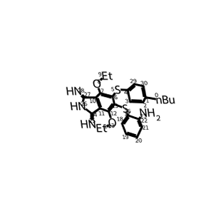 CCCCc1ccc(Sc2c(OCC)c3c(c(OCC)c2Sc2ccccc2N)C(=N)NC3=N)cc1